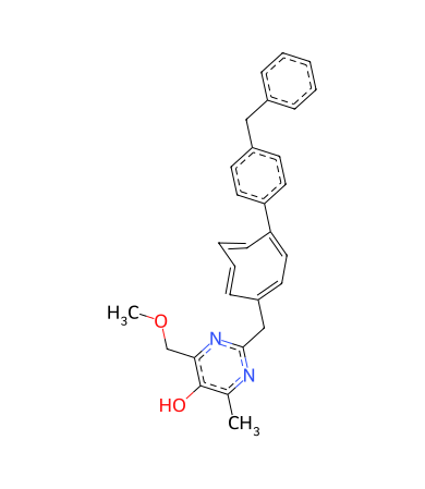 COCc1nc(CC2=C/C=C(c3ccc(Cc4ccccc4)cc3)\C=C\C=C\2)nc(C)c1O